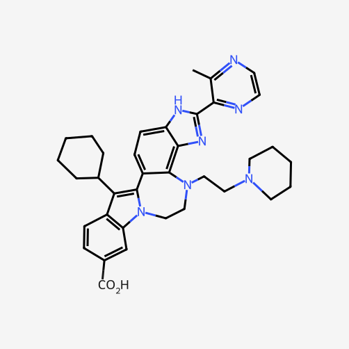 Cc1nccnc1-c1nc2c3c(ccc2[nH]1)-c1c(C2CCCCC2)c2ccc(C(=O)O)cc2n1CCN3CCN1CCCCC1